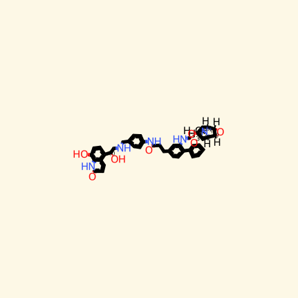 C[N+]1(C)[C@@H]2CC(OC(=O)Nc3cc(CCC(=O)Nc4ccc(CNC[C@H](O)c5ccc(O)c6[nH]c(=O)ccc56)cc4)ccc3-c3ccccc3)C[C@H]1[C@@H]1O[C@@H]12